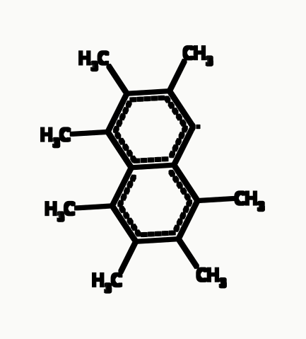 Cc1[c]c2c(C)c(C)c(C)c(C)c2c(C)c1C